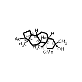 CO[C@H](C)[C@]12CC[C@@](C)(O)C[C@H]1CC[C@H]1[C@@H]3CC[C@H](C(C)=O)[C@@]3(C)CC[C@@H]12